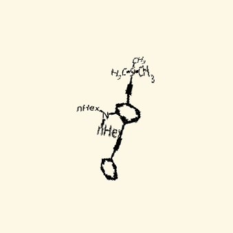 CCCCCCN(CCCCCC)c1cc(C#C[Si](C)(C)C)ccc1C#Cc1ccccc1